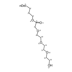 CCCCCCCCCCCCCOC(=O)COCCOCCOCCO